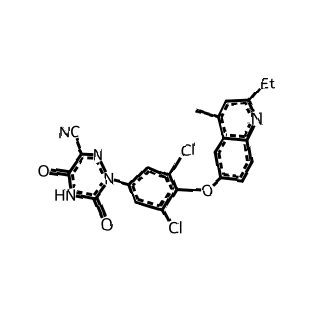 CCc1cc(C)c2cc(Oc3c(Cl)cc(-n4nc(C#N)c(=O)[nH]c4=O)cc3Cl)ccc2n1